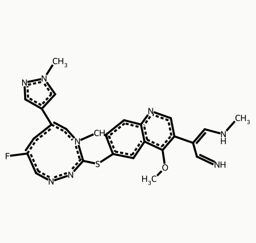 CN/C=C(\C=N)c1cnc2ccc(Sc3nncc(F)cc(-c4cnn(C)c4)cn3C)cc2c1OC